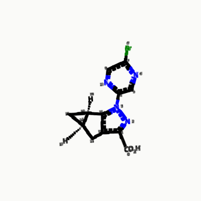 O=C(O)c1nn(-c2cnc(Br)cn2)c2c1C[C@H]1C[C@@H]21